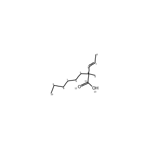 C/C=C/C(C)(CCCCCC)C(=O)O